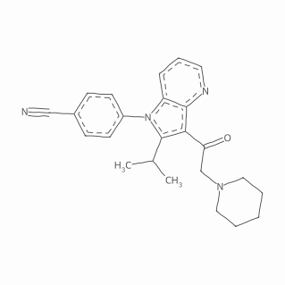 CC(C)c1c(C(=O)CN2CCCCC2)c2ncccc2n1-c1ccc(C#N)cc1